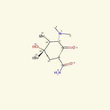 CN(C)[C@@H]1C(=O)C(C(N)=O)C[C@@](O)(C(C)(C)C)C1C(C)(C)C